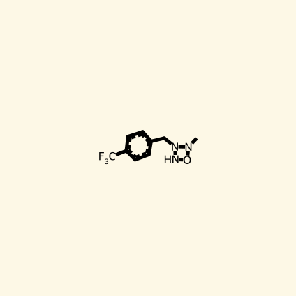 CN1ONN1Cc1ccc(C(F)(F)F)cc1